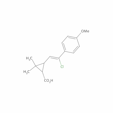 COc1ccc(C(Cl)=CC2C(C(=O)O)C2(C)C)cc1